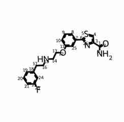 NC(=O)c1csc(-c2cccc(OCCNCCc3cccc(F)c3)c2)n1